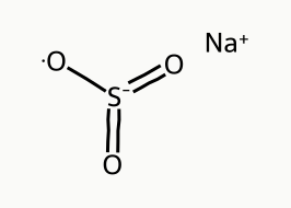 [Na+].[O][S-](=O)=O